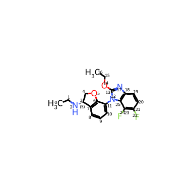 CCN[C@@H]1COc2c1cccc2-n1c(OCC)nc2ccc(F)c(F)c21